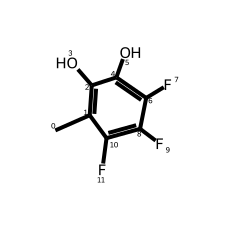 Cc1c(O)c(O)c(F)c(F)c1F